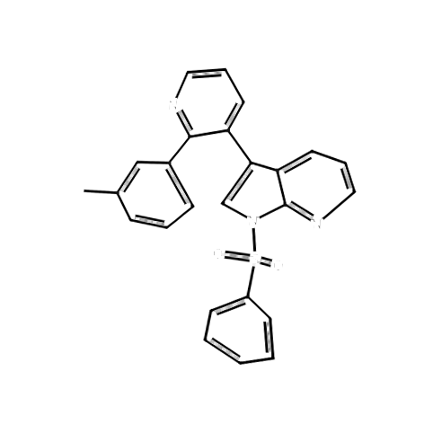 Cc1cccc(-c2ncccc2-c2cn(S(=O)(=O)c3ccccc3)c3ncccc23)c1